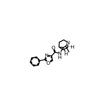 C[C@H]1[C@H](NC(=O)c2coc(-c3ccccc3)n2)C2CCN1CC2